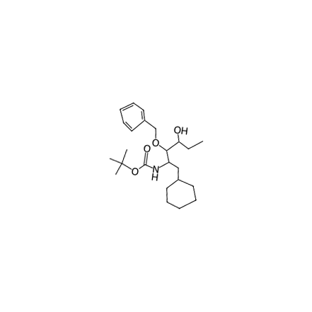 CCC(O)C(OCc1ccccc1)C(CC1CCCCC1)NC(=O)OC(C)(C)C